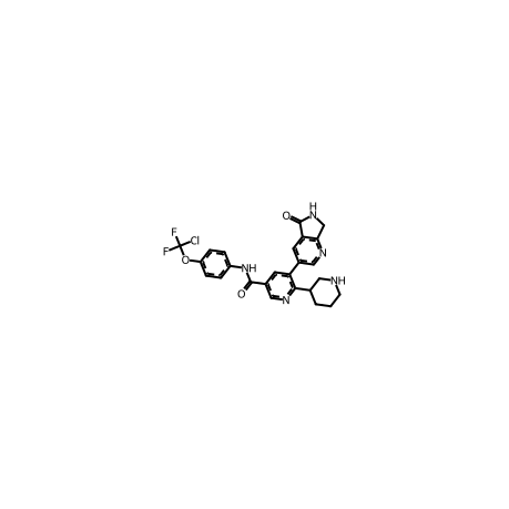 O=C(Nc1ccc(OC(F)(F)Cl)cc1)c1cnc(C2CCCNC2)c(-c2cnc3c(c2)C(=O)NC3)c1